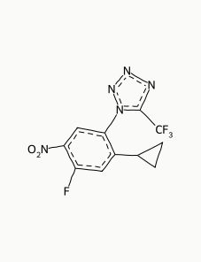 O=[N+]([O-])c1cc(-n2nnnc2C(F)(F)F)c(C2CC2)cc1F